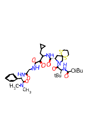 CC(C)COC(=O)N[C@H](C(=O)N1CC2(C[C@H]1C(=O)NC(CC1CC1)C(=O)C(=O)NCC(=O)N[C@H](C(=O)N(C)C)c1ccccc1)SCCCS2)C(C)(C)C